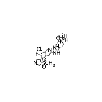 [2H]C([2H])([2H])N1CCc2cc(Nc3cc4cc(-c5cnccc5S(C)(=O)=O)c(F)c(Cl)c4cn3)nn2CC1=O